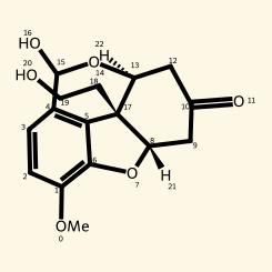 COc1ccc2c3c1O[C@H]1CC(=O)C[C@H](OC2O)[C@@]31CCO